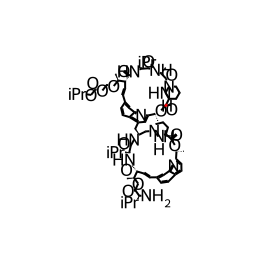 CC(C)OC(=O)OCO[C@@H](C)[C@H]1/C=C/c2ccc3c(C[C@H]4CN5CCC[C@H](N5)C(=O)O[C@H](C)c5ccc6ccc(cc6n5)/C=C/[C@H]([C@H](C)OC(=O)[C@@H](N)C(C)C)C(=O)N[C@@H](C(C)C)C(=O)N4)cc(nc3c2)[C@@H](C)OC(=O)[C@@H]2CCCN(N2)C(=O)[C@H](C)NC(=O)[C@H](C(C)C)NC1=O